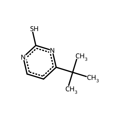 CC(C)(C)c1ccnc(S)n1